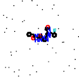 O=C(Cc1ccccc1)NCC(=O)Nc1ccnc(-c2cc(-c3ccon3)n(Cc3ccccc3F)n2)n1